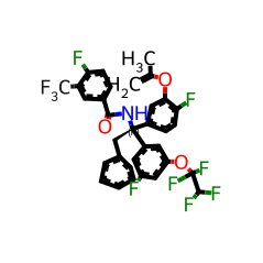 C=C(C)Oc1cc([C@@](Cc2ccccc2)(NC(=O)c2ccc(F)c(C(F)(F)F)c2)c2cc(F)cc(OC(F)(F)C(F)F)c2)ccc1F